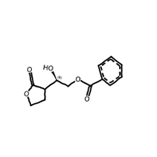 O=C(OC[C@H](O)C1CCOC1=O)c1ccccc1